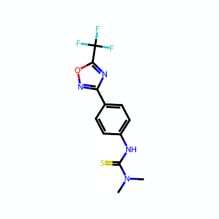 CN(C)C(=S)Nc1ccc(-c2noc(C(F)(F)F)n2)cc1